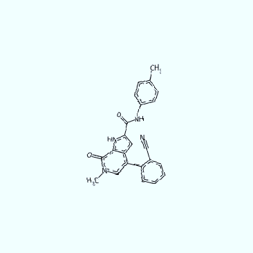 Cc1ccc(NC(=O)c2cc3c(-c4ccccc4C#N)cn(C)c(=O)c3[nH]2)cc1